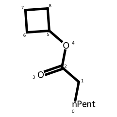 [CH2]CCCCCC(=O)OC1CCC1